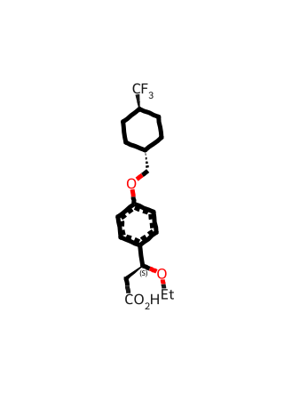 CCO[C@@H](CC(=O)O)c1ccc(OC[C@H]2CC[C@H](C(F)(F)F)CC2)cc1